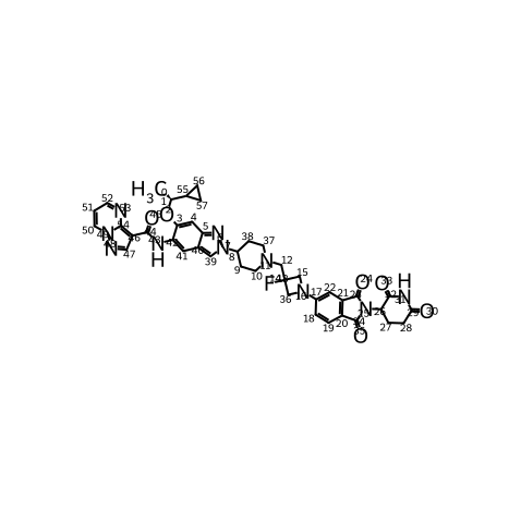 C[C@H](Oc1cc2nn(C3CCN(CC4(F)CN(c5ccc6c(c5)C(=O)N(C5CCC(=O)NC5=O)C6=O)C4)CC3)cc2cc1NC(=O)c1cnn2cccnc12)C1CC1